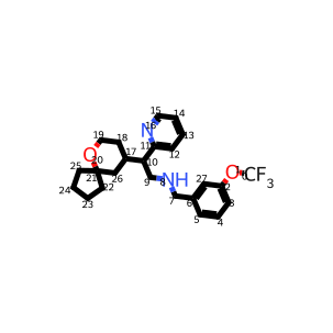 FC(F)(F)Oc1cccc(CNCC(c2ccccn2)C2CCOC3(CCCC3)C2)c1